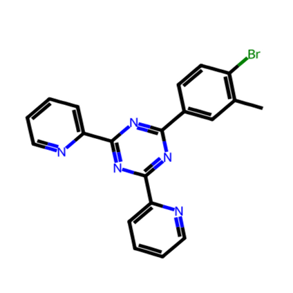 Cc1cc(-c2nc(-c3ccccn3)nc(-c3ccccn3)n2)ccc1Br